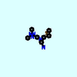 N#Cc1ccc2c(c1)c1cc(-c3cccc4c3sc3ccccc34)ccc1n2-c1ccc(-c2nc(-c3ccccc3)nc(-c3ccccc3)n2)cc1